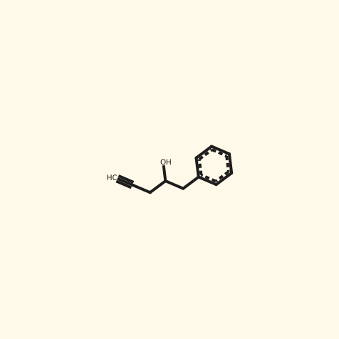 C#CCC(O)Cc1ccccc1